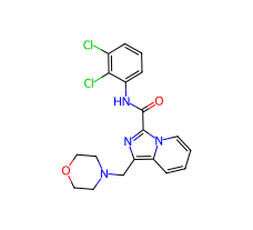 O=C(Nc1cccc(Cl)c1Cl)c1nc(CN2CCOCC2)c2ccccn12